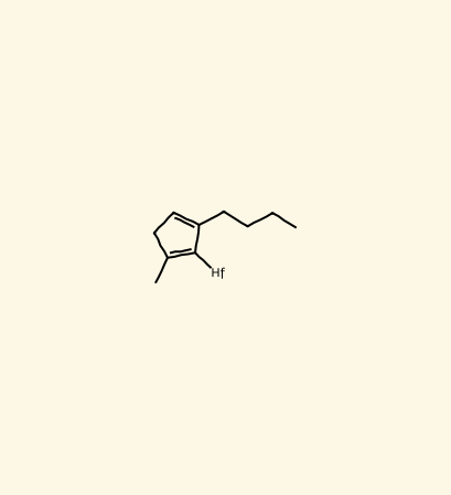 CCCCC1=CCC(C)=[C]1[Hf]